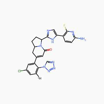 [2H]c1cc(Cl)cc(C2=CC(=O)N3C(CCC3c3ncc(-c4ccc(N)nc4F)[nH]3)C2)c1-n1cnnn1